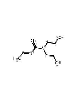 CC=NC(=O)N(CCO)CCO